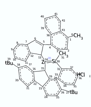 Cc1ccc(C2=Cc3ccccc3[CH]2/[Zr]([CH]2c3cc(C(C)(C)C)ccc3-c3ccc(C(C)(C)C)cc32)=[Si](\C)c2ccccc2)c2ccccc12.Cl.Cl